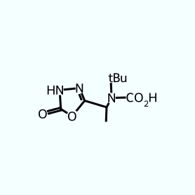 CC(c1n[nH]c(=O)o1)N(C(=O)O)C(C)(C)C